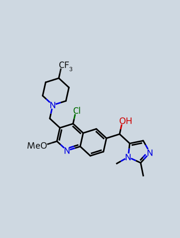 COc1nc2ccc(C(O)c3cnc(C)n3C)cc2c(Cl)c1CN1CCC(C(F)(F)F)CC1